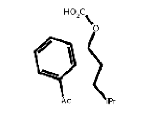 CC(=O)c1ccccc1.CC(C)CCCOC(=O)O